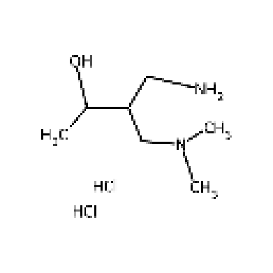 CC(O)C(CN)CN(C)C.Cl.Cl